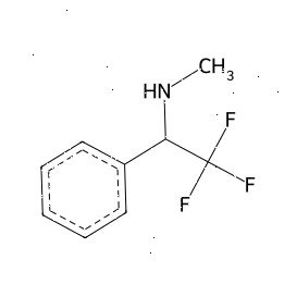 CNC(c1ccccc1)C(F)(F)F